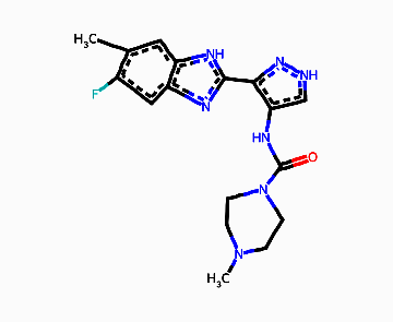 Cc1cc2[nH]c(-c3n[nH]cc3NC(=O)N3CCN(C)CC3)nc2cc1F